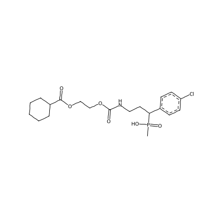 CP(=O)(O)C(CCNC(=O)OCCOC(=O)C1CCCCC1)c1ccc(Cl)cc1